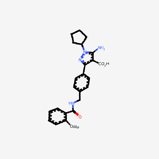 COc1ccccc1C(=O)NCc1ccc(-c2nn(C3CCCC3)c(N)c2C(=O)O)cc1